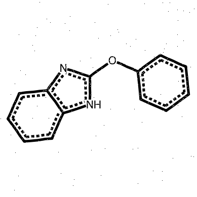 c1ccc(Oc2nc3ccccc3[nH]2)cc1